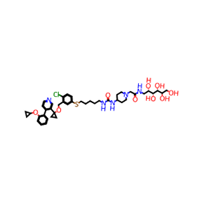 O=C(CN1CCC(NC(=O)NCCCCCSc2ccc(Cl)c(COC3(c4cnccc4-c4ccccc4OC4CC4)CC3)c2)CC1)NC[C@H](O)[C@@H](O)[C@H](O)[C@H](O)CO